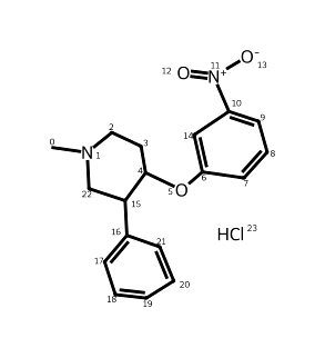 CN1CCC(Oc2cccc([N+](=O)[O-])c2)C(c2ccccc2)C1.Cl